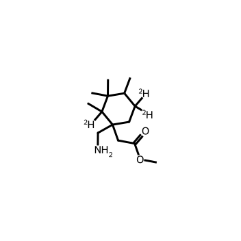 [2H]C1([2H])CC(CN)(CC(=O)OC)C([2H])(C)C(C)(C)C1C